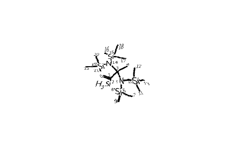 C=C([SiH3])C(C)(N([Si](C)(C)C)[Si](C)(C)C)N([Si](C)(C)C)[Si](C)(C)C